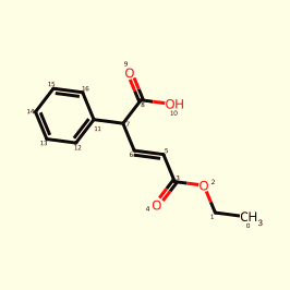 CCOC(=O)C=CC(C(=O)O)c1ccccc1